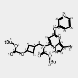 CC(C)(C)OC(=O)OC1CC(CN(C(=O)OC(C)(C)C)c2cc(Oc3cccnc3)nc3c(Br)cnn23)C1